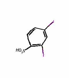 O=S(=O)(O)c1ccc(I)cc1I